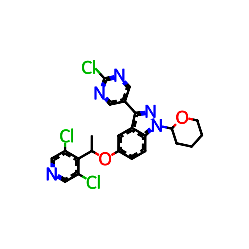 CC(Oc1ccc2c(c1)c(-c1cnc(Cl)nc1)nn2C1CCCCO1)c1c(Cl)cncc1Cl